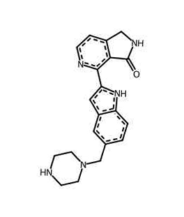 O=C1NCc2ccnc(-c3cc4cc(CN5CCNCC5)ccc4[nH]3)c21